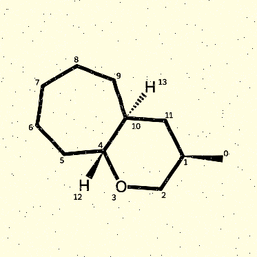 C[C@H]1CO[C@@H]2CCCCC[C@H]2C1